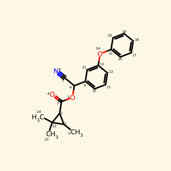 CC1C(C(=O)OC(C#N)c2cccc(Oc3ccccc3)c2)C1(C)C